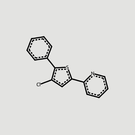 Clc1cc(-c2ccccn2)sc1-c1ccccc1